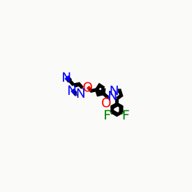 N#Cc1cc(OCC23CC(C2)C(C(=O)N2N=CCC2c2cc(F)cc(F)c2)C3)ncn1